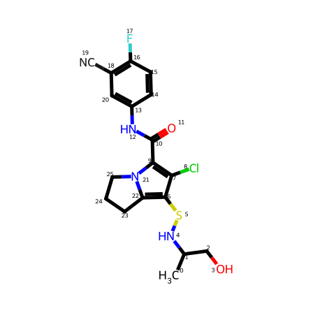 CC(CO)NSc1c(Cl)c(C(=O)Nc2ccc(F)c(C#N)c2)n2c1CCC2